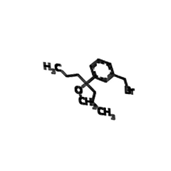 CCCC(CCC)(OC)c1cccc(CBr)c1